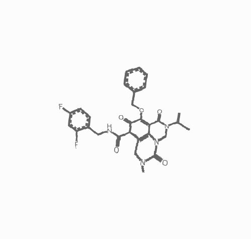 CC(C)N1CN2C(=O)N(C)CC3=C2C(=C(OCc2ccccc2)C(=O)C3C(=O)NCc2ccc(F)cc2F)C1=O